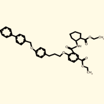 CCOC(=O)c1ccc(OCCCc2ccc(OCc3ccc(-c4ccccc4)cc3)cc2)c(C(=O)NC2CCCCC2C(=O)OCC)c1